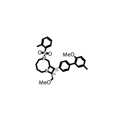 COC[C@@H]1[C@@H](c2ccc(-c3cc(C)ccc3OC)cc2)C2CN(S(=O)(=O)c3ccccc3C)CCCCN21